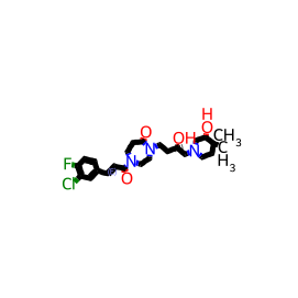 CC1(C)CCN(C[C@H](O)CCN2CCN(C(=O)/C=C/c3ccc(F)c(Cl)c3)CCC2=O)CC1O